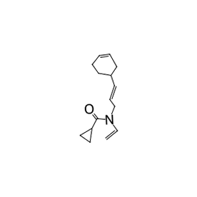 C=CN(C/C=C/C1CC=CCC1)C(=O)C1CC1